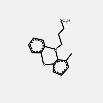 Cc1cccc2c1N(CCCS(=O)(=O)O)c1ccccc1S2